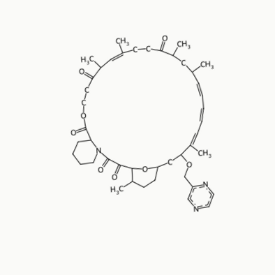 CC1=CC(C)C(=O)CCOC(=O)C2CCCCN2C(=O)C(=O)C2OC(CCC2C)CC(OCc2cnccn2)C(C)=CC=CC=CC(C)CC(C)C(=O)CC1